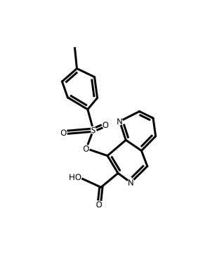 Cc1ccc(S(=O)(=O)Oc2c(C(=O)O)ncc3cccnc23)cc1